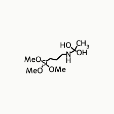 CO[Si](CCCNC(C)(O)O)(OC)OC